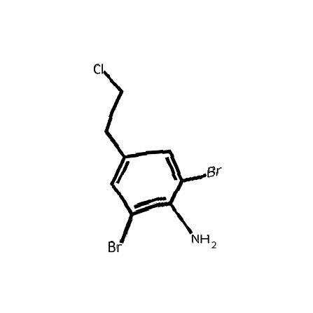 Nc1c(Br)cc(CCCl)cc1Br